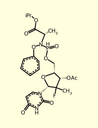 CC(=O)O[C@H]1[C@@H](CO[PH](=O)N(Oc2ccccc2)[C@@H](C)C(=O)OC(C)C)O[C@@H](n2ccc(=O)[nH]c2=O)C1(C)F